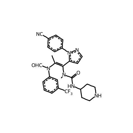 C/C(=C(\c1ccnn1-c1ccc(C#N)cc1)N(C)C(=O)NC1CCNCC1)N(C=O)c1cccc(C(F)(F)F)c1